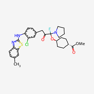 COC(=O)[C@H]1CC[C@H](OC(F)(C(=O)Cc2ccc(Nc3nc4ccc(C)cc4s3)c(Cl)c2)N2CCCC2)CC1